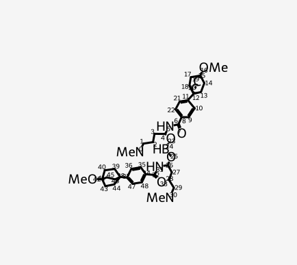 CNCCCC(NC(=O)c1ccc(C23CCC(OC)(CC2)CC3)cc1)OBOC(CCCNC)NC(=O)c1ccc(C23CCC(OC)(CC2)CC3)cc1